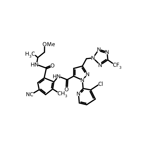 COCC(C)NC(=O)c1cc(C#N)cc(C)c1NC(=O)c1cc(Cn2nnc(C(F)(F)F)n2)nn1-c1ncccc1Cl